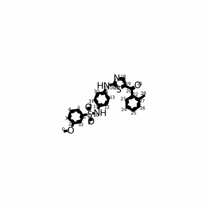 COc1cccc(S(=O)(=O)Nc2ccc(Nc3ncc(C(=O)c4ccccc4C)s3)cc2)c1